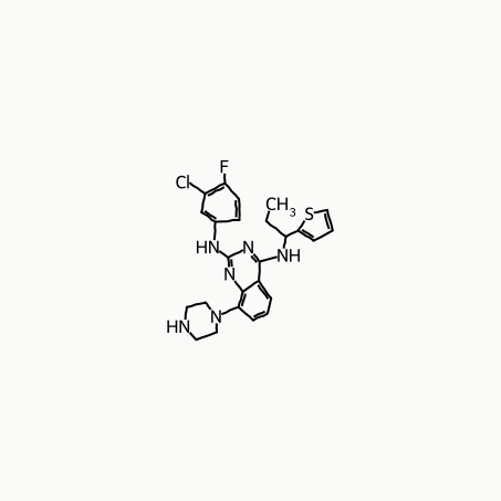 CCC(Nc1nc(Nc2ccc(F)c(Cl)c2)nc2c(N3CCNCC3)cccc12)c1cccs1